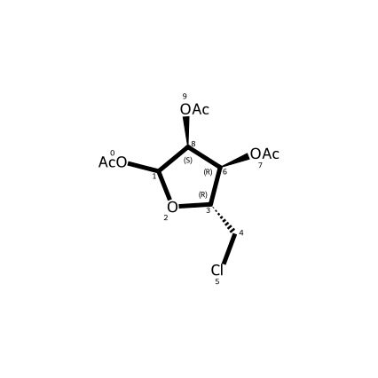 CC(=O)OC1O[C@@H](CCl)[C@H](OC(C)=O)[C@@H]1OC(C)=O